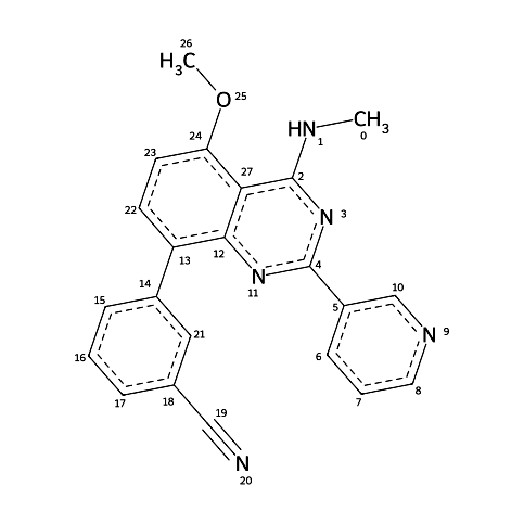 CNc1nc(-c2cccnc2)nc2c(-c3cccc(C#N)c3)ccc(OC)c12